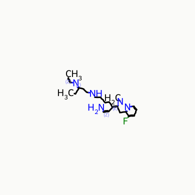 C=N/C(Cc1ncccc1F)=C(/C=C\N)CCCCNCC/C(CC)=N/C=C\C